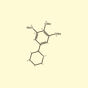 COc1cc(C2C[N]CCS2)cc(OC)c1OC